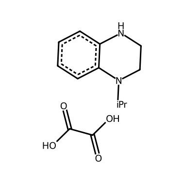 CC(C)N1CCNc2ccccc21.O=C(O)C(=O)O